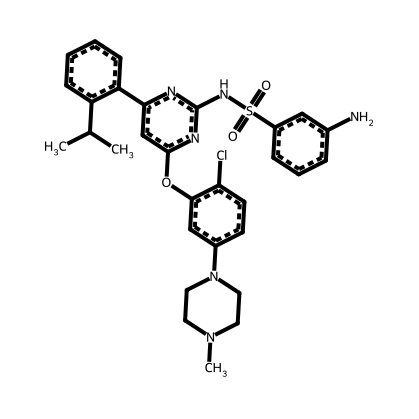 CC(C)c1ccccc1-c1cc(Oc2cc(N3CCN(C)CC3)ccc2Cl)nc(NS(=O)(=O)c2cccc(N)c2)n1